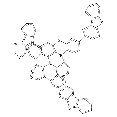 c1ccc(-c2cccc(-c3ccccc3)c2N2c3cc(-c4ccc5sc6ccccc6c5c4)ccc3B3c4ccc(-c5ccc6sc7ccccc7c6c5)cc4Sc4cc(-n5c6ccccc6c6ccccc65)cc2c43)cc1